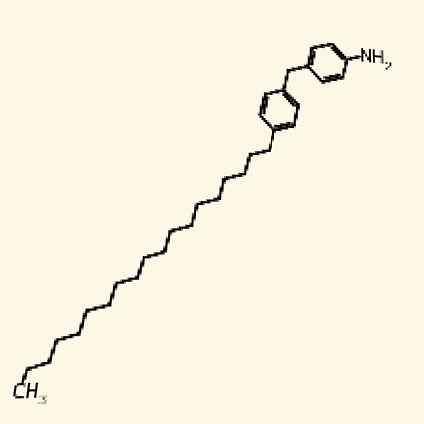 CCCCCCCCCCCCCCCCCCCc1ccc(Cc2ccc(N)cc2)cc1